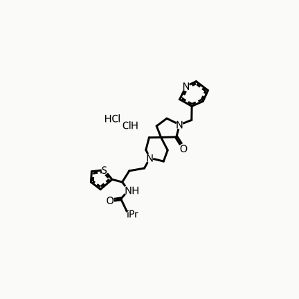 CC(C)C(=O)NC(CCN1CCC2(CC1)CCN(Cc1cccnc1)C2=O)c1cccs1.Cl.Cl